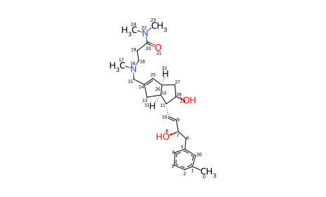 Cc1cccc(C[C@@H](O)/C=C/[C@@H]2[C@H]3CC(CN(C)CCC(=O)N(C)C)=C[C@H]3C[C@H]2O)c1